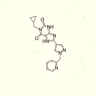 O=c1[nH]c2nc(-c3cnn(Cc4ccccn4)c3)[nH]c2c(=O)n1CC1CC1